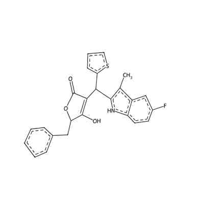 Cc1c(C(C2=C(O)C(Cc3ccccc3)OC2=O)c2cccs2)[nH]c2ccc(F)cc12